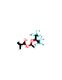 C=C(C)C(=O)OC(C)OC(C(F)(F)F)C(F)(F)F